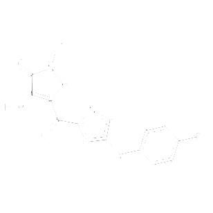 O=C(C1=C(O)C(=O)N(I)C1)c1ncc(Cc2ccc(F)cc2)o1